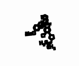 COc1ccc(CN(c2nccs2)S(=O)(=O)c2cc(Cl)c(C3CCC(CN(C)C)C3)cc2F)cc1